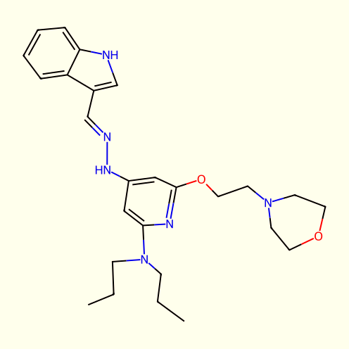 CCCN(CCC)c1cc(N/N=C/c2c[nH]c3ccccc23)cc(OCCN2CCOCC2)n1